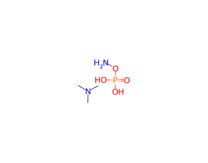 CN(C)C.NOP(=O)(O)O